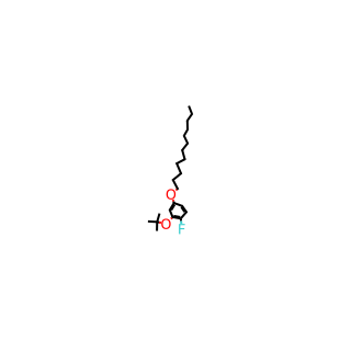 CCCCCCCCCCCCOc1ccc(F)c(OC(C)(C)C)c1